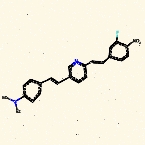 CCN(CC)c1ccc(C=Cc2ccc(C=Cc3ccc([N+](=O)[O-])c(F)c3)nc2)cc1